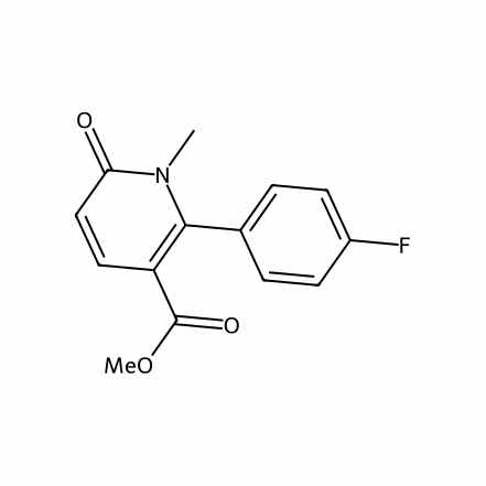 COC(=O)c1ccc(=O)n(C)c1-c1ccc(F)cc1